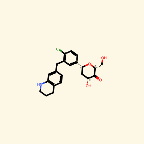 O=C1[C@H](O)C[C@H](c2ccc(Cl)c(Cc3ccc4c(c3)NCCC4)c2)O[C@@H]1CO